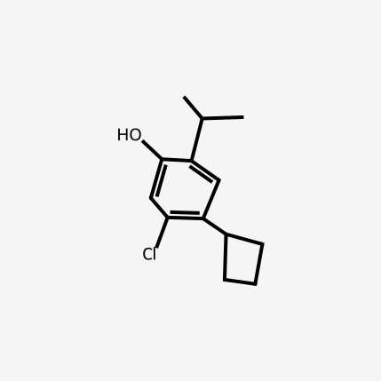 CC(C)c1cc(C2CCC2)c(Cl)cc1O